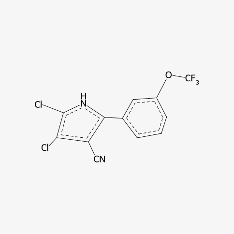 N#Cc1c(-c2cccc(OC(F)(F)F)c2)[nH]c(Cl)c1Cl